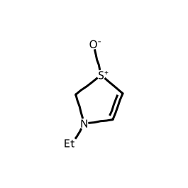 CCN1C=C[S+]([O-])C1